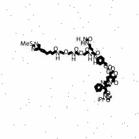 CSc1ncc(C#CCCCC(=O)NCCOCCNC(=O)COCC(=O)N[C@@H](CCCNC(N)=O)C(=O)Nc2ccc(COC(=O)O[C@@H]3C(=O)OCc4c3cc3n(c4=O)Cc4c-3nc3ccccc3c4CCN(C(C)C)S(C)(=O)=O)cc2)cn1